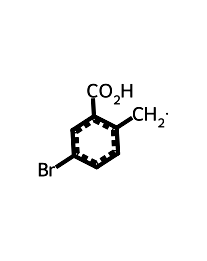 [CH2]c1ccc(Br)cc1C(=O)O